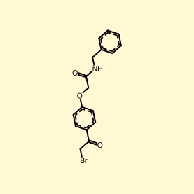 O=C(COc1ccc(C(=O)CBr)cc1)NCc1ccccc1